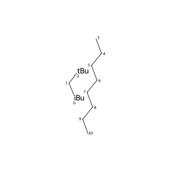 CCC(C)CC(C)(C)C.CCCCCCCC